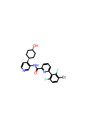 CCc1ccc(F)c(-c2cccc(C(=O)Nc3cnccc3[C@H]3CC[C@@H](O)CC3)n2)c1F